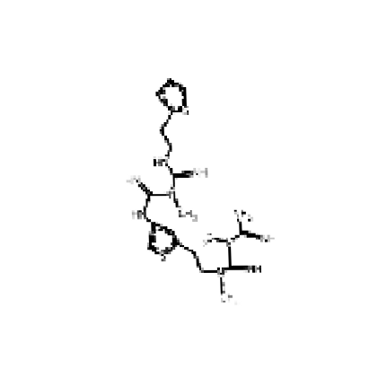 CN(CCc1cc(NC(=N)N(C)C(=N)NCCc2cccs2)cs1)C(=N)N(C)C(=N)N